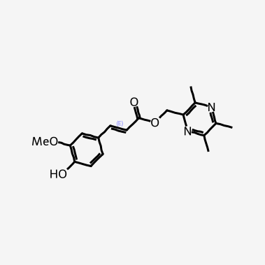 COc1cc(/C=C/C(=O)OCc2nc(C)c(C)nc2C)ccc1O